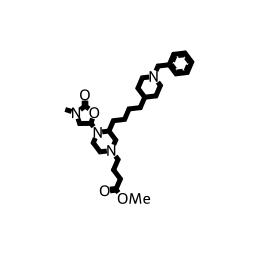 COC(=O)CCCN1CCN(C2CN(C)C(=O)O2)C(CCCCC2CCN(Cc3ccccc3)CC2)C1